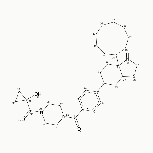 O=C(c1ccc(C2CCC3(C4CCCCCCCC4)NCSC3C2)cc1)N1CCN(C(=O)C2(O)CC2)CC1